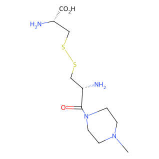 CN1CCN(C(=O)[C@@H](N)CSSC[C@H](N)C(=O)O)CC1